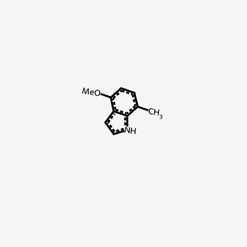 COc1ccc(C)c2[nH]ccc12